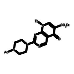 CCOC(=O)c1cn(CC)c2nc(N3CCN(C(C)=O)CC3)ncc2c1=O